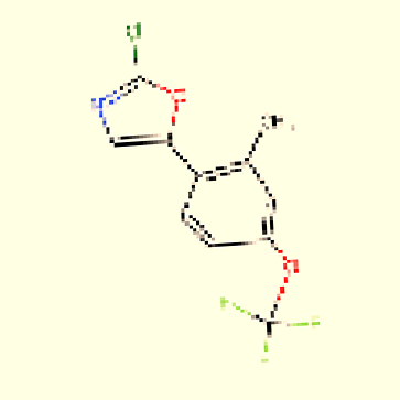 Cc1cc(OC(F)(F)F)ccc1-c1cnc(Cl)o1